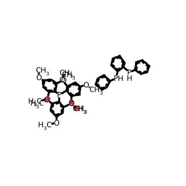 COc1cc(OC)c(P(c2c(OC)cc(OC)cc2OC)c2c(OC)cc(OC)cc2OC)c(OC)c1.c1ccc(Pc2ccccc2Pc2ccccc2)cc1